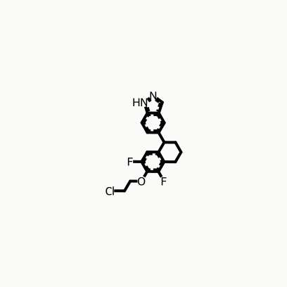 Fc1cc2c(c(F)c1OCCCl)CCCC2c1ccc2[nH]ncc2c1